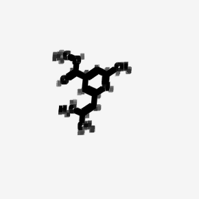 COC(=O)c1cc(C)nc(C=C(C)C)c1